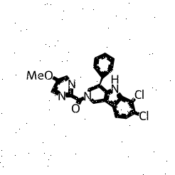 COc1cnc(C(=O)N2Cc3c([nH]c4c(Cl)c(Cl)ccc34)[C@H](c3ccccc3)C2)nc1